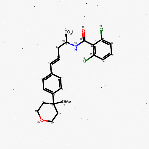 COC1(c2ccc(C=CC[C@H](NC(=O)c3c(Cl)cccc3Cl)C(=O)O)cc2)CCOCC1